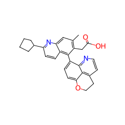 Cc1cc2nc(C3CCCC3)ccc2c(-c2ccc3c4c(ccnc24)CCO3)c1CC(=O)O